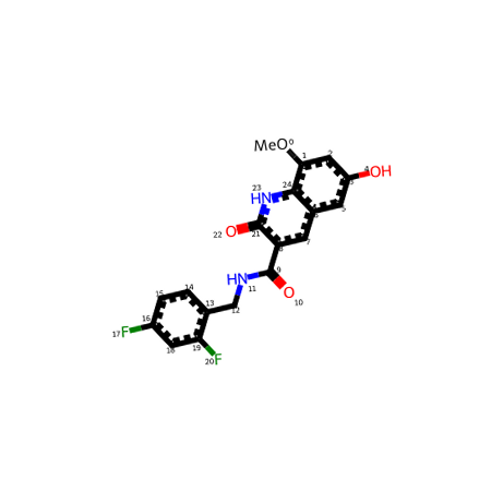 COc1cc(O)cc2cc(C(=O)NCc3ccc(F)cc3F)c(=O)[nH]c12